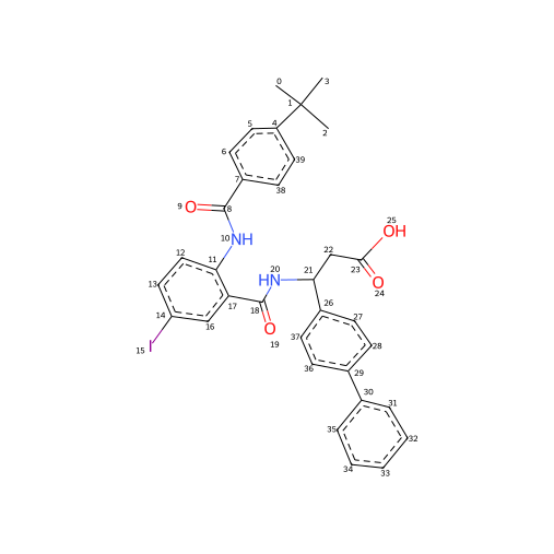 CC(C)(C)c1ccc(C(=O)Nc2ccc(I)cc2C(=O)NC(CC(=O)O)c2ccc(-c3ccccc3)cc2)cc1